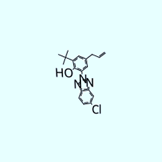 C=CCc1cc(-n2nc3ccc(Cl)cc3n2)c(O)c(C(C)(C)C)c1